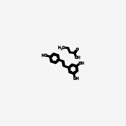 CCCC(=O)O.Oc1ccc(C=Cc2cc(O)cc(O)c2)cc1